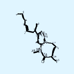 C=C(/C=C\C=C/C)c1cc2n(n1)CCC(I)C(=O)N2C